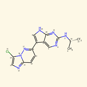 C[C@H](Nc1ncc2c(-c3ccc4ncc(Cl)n4n3)c[nH]c2n1)C(F)(F)F